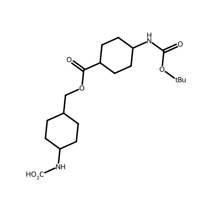 CC(C)(C)OC(=O)NC1CCC(C(=O)OCC2CCC(NC(=O)O)CC2)CC1